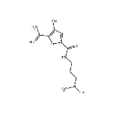 C=C(N)c1oc(C(=O)NCCCN(C)C)cc1C